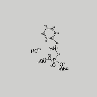 CCCCOP(=O)(CNCc1ccccc1)OCCCC.Cl